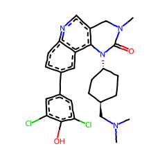 CN(C)C[C@H]1CC[C@H](N2C(=O)N(C)Cc3cnc4ccc(-c5cc(Cl)c(O)c(Cl)c5)cc4c32)CC1